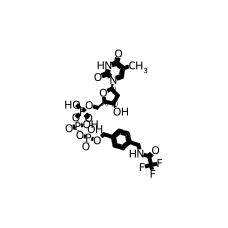 Cc1cn([C@H]2C[C@@H](O)[C@@H](COP(=O)(O)OP(=O)(O)OP(=O)(O)OCc3ccc(CNC(=O)C(F)(F)F)cc3)O2)c(=O)[nH]c1=O